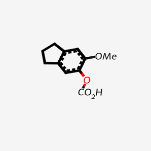 COc1cc2c(cc1OC(=O)O)CCC2